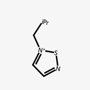 CC(C)C[n+]1ccns1